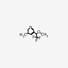 COC(C1=CC(C)CN=C1)C(F)(F)F